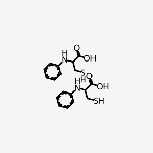 O=C(O)C(CS)Nc1ccccc1.O=C(O)C(CS)Nc1ccccc1